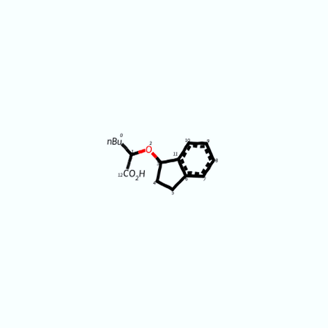 CCCCC(OC1CCc2ccccc21)C(=O)O